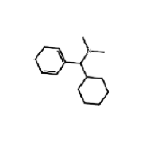 CN(C)C(C1=CC[CH]C=C1)C1CCCCC1